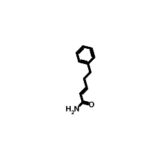 NC(=O)C=CCCc1ccccc1